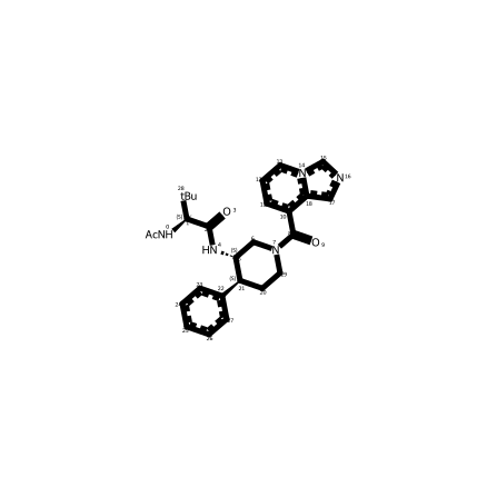 CC(=O)N[C@H](C(=O)N[C@@H]1CN(C(=O)c2cccn3cncc23)CC[C@H]1c1ccccc1)C(C)(C)C